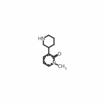 Cn1cccc(C2CCCNC2)c1=O